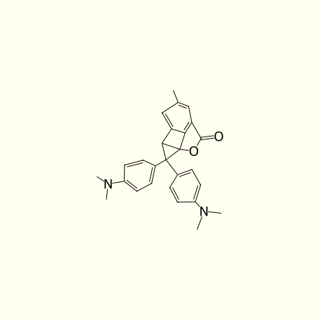 Cc1cc2c3c(c1)C1C3(OC2=O)C1(c1ccc(N(C)C)cc1)c1ccc(N(C)C)cc1